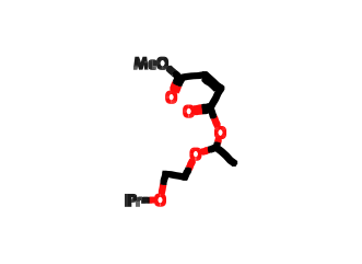 COC(=O)/C=C\C(=O)OC(C)OCCOC(C)C